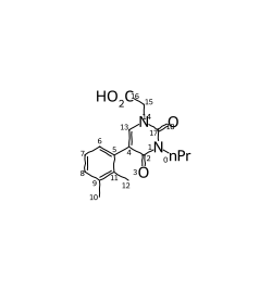 CCCn1c(=O)c(-c2cccc(C)c2C)cn(CC(=O)O)c1=O